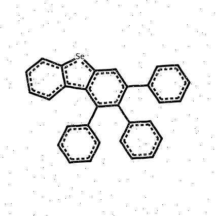 c1ccc(-c2cc3[se]c4ccccc4c3c(-c3ccccc3)c2-c2ccccc2)cc1